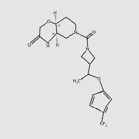 CC(Oc1ccc(C(F)(F)F)cc1)C1CN(C(=O)N2CC[C@@H]3OCC(=O)N[C@@H]3C2)C1